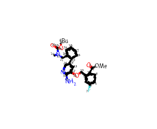 COC(=O)c1ccc(F)cc1COc1cc(-c2ccccc2CN(C)C(=O)OC(C)(C)C)cnc1N